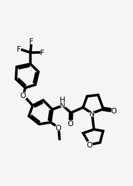 COc1ccc(Oc2ccc(C(F)(F)F)cc2)cc1NC(=O)C1CCC(=O)N1C1CCOC1